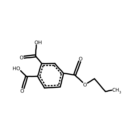 CCCOC(=O)c1ccc(C(=O)O)c(C(=O)O)c1